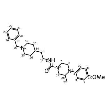 COc1ccc(N2CCN(C(=O)NCCC3CCN(Cc4ccccc4)CC3)CC2C)cc1